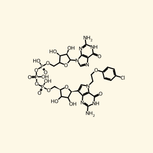 Nc1nc2c(ncn2C2OC(COP(=O)(O)OP(=O)(O)OP(=O)(O)OC[C@H]3O[C@@H](c4cn(CCOc5ccc(Cl)cc5)c5c(=O)[nH]c(N)nc45)C(O)C3O)[C@@H](O)[C@H]2O)c(=O)[nH]1